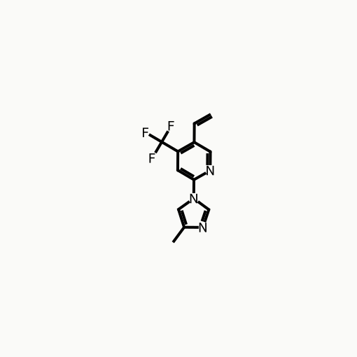 C=Cc1cnc(-n2cnc(C)c2)cc1C(F)(F)F